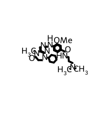 COc1cc(C(=O)NCCCN(C)C)ccc1Nc1ncc2c(n1)N(C1CCCCC1)CCC(=O)N2C